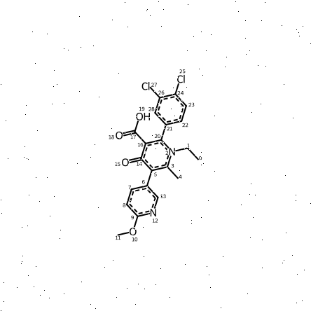 CCn1c(C)c(-c2ccc(OC)nc2)c(=O)c(C(=O)O)c1-c1ccc(Cl)c(Cl)c1